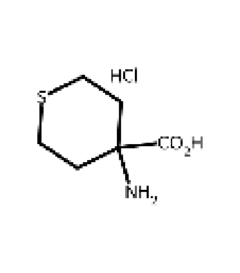 Cl.NC1(C(=O)O)CCSCC1